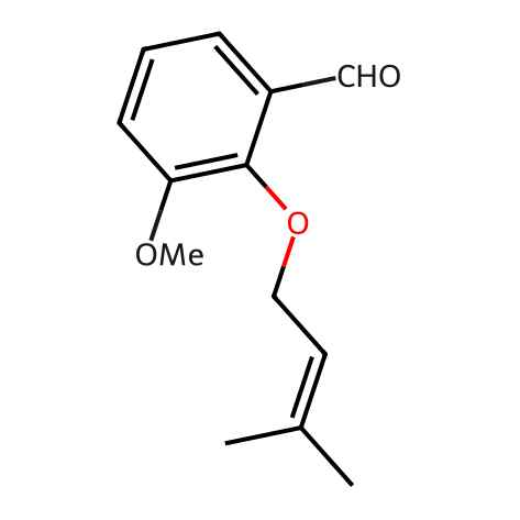 COc1cccc(C=O)c1OCC=C(C)C